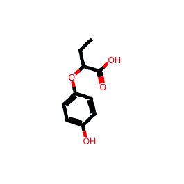 CCC(Oc1ccc(O)cc1)C(=O)O